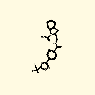 O=C(NCC1Cc2ccccc2N1C(=O)O)c1ccc(-c2noc(C(F)(F)F)n2)cc1